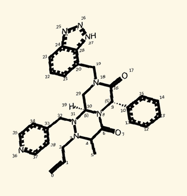 C=CCN1C(C)C(=O)N2[C@@H](c3ccccc3)C(=O)N(Cc3cccc4nn[nH]c34)C[C@@H]2N1Cc1ccncc1